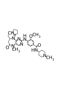 CCC1CC(=O)N(C)c2cnc(Nc3ccc(C(=O)NC4CCN(C)CC4)cc3OC)nc2N1C1CCCC1